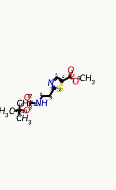 COC(=O)c1cnc(CCNC(=O)OC(C)(C)C)s1